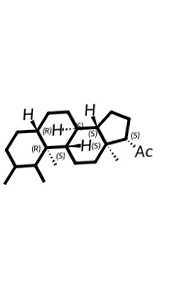 CC(=O)[C@H]1CC[C@H]2[C@@H]3CC[C@H]4CCC(C)C(C)[C@]4(C)[C@H]3CC[C@]12C